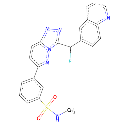 CNS(=O)(=O)c1cccc(-c2ccc3nnc(C(F)c4ccc5ncccc5c4)n3n2)c1